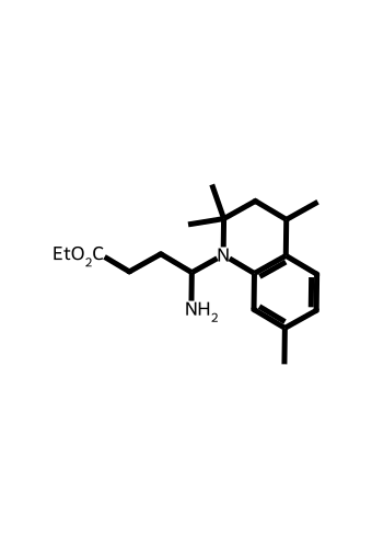 CCOC(=O)CCC(N)N1c2cc(C)ccc2C(C)CC1(C)C